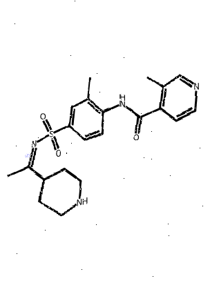 C/C(=N/S(=O)(=O)c1ccc(NC(=O)c2ccncc2C)c(C)c1)C1CCNCC1